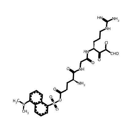 CN(C)c1cccc2c(S(=O)(=O)OC(=O)CC[C@H](N)C(=O)NCC(=O)N[C@@H](CCCNC(=N)N)C(=O)C(Cl)C=O)cccc12